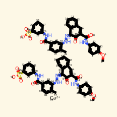 COc1ccc(NC(=O)C2=Cc3ccccc3/C(=N/Nc3cc(C(=O)Nc4cccc(S(=O)(=O)[O-])c4)ccc3C)C2=O)cc1.COc1ccc(NC(=O)C2=Cc3ccccc3C(=NNc3cc(C(=O)Nc4cccc(S(=O)(=O)[O-])c4)ccc3C)C2=O)cc1.[Ca+2]